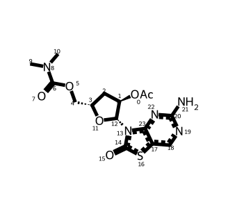 CC(=O)O[C@@H]1C[C@@H](COC(=O)N(C)C)O[C@H]1n1c(=O)sc2cnc(N)nc21